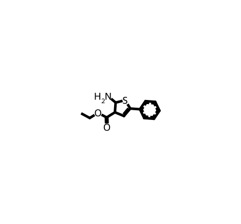 CCOC(=O)C1C=C(c2ccccc2)SC1N